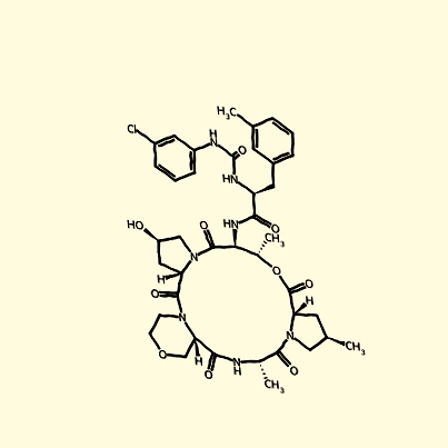 Cc1cccc(C[C@H](NC(=O)Nc2cccc(Cl)c2)C(=O)N[C@@H]2C(=O)N3C[C@H](O)C[C@H]3C(=O)N3CCOC[C@H]3C(=O)N[C@@H](C)C(=O)N3C[C@H](C)C[C@H]3C(=O)O[C@H]2C)c1